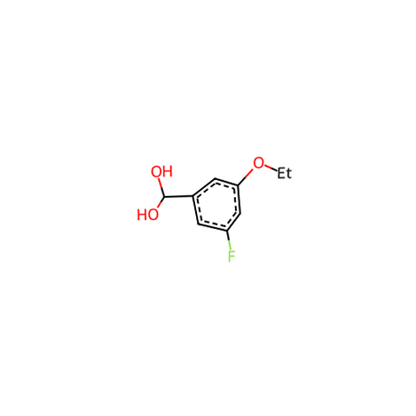 CCOc1cc(F)cc(C(O)O)c1